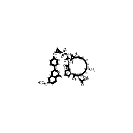 COc1ccc2c(O[C@@H]3C[C@H]4C(=O)N[C@]5(C(=O)NS(=O)(=O)C6CC6)C[C@H]5/C=C\CC[C@H](C)C[C@@H](C)[C@H](NC(=O)O)C(=O)N4C3)nc(-c3ccc(F)cc3)cc2c1